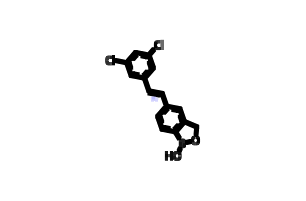 OB1OCc2cc(/C=C/c3cc(Cl)cc(Cl)c3)ccc21